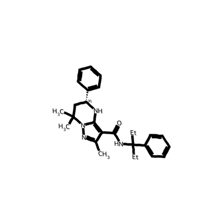 CCC(CC)(NC(=O)c1c(C)nn2c1N[C@@H](c1ccccc1)CC2(C)C)c1ccccc1